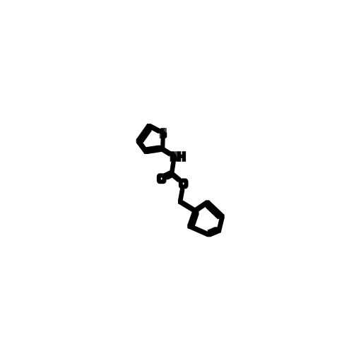 O=C(Nc1cccs1)OCc1ccccc1